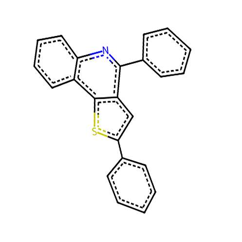 c1ccc(-c2cc3c(-c4ccccc4)nc4ccccc4c3s2)cc1